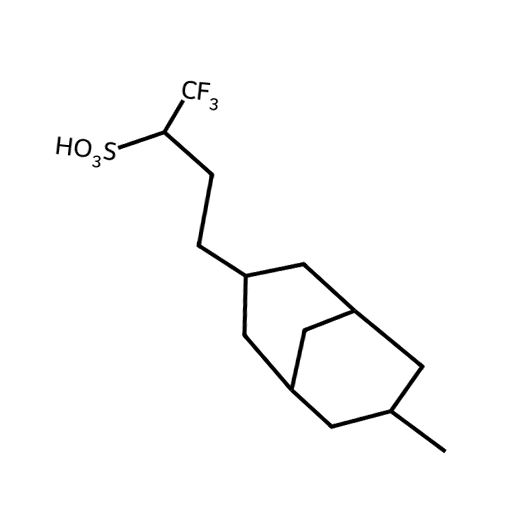 CC1CC2CC(CCC(C(F)(F)F)S(=O)(=O)O)CC(C1)C2